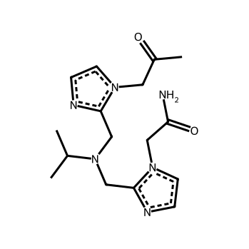 CC(=O)Cn1ccnc1CN(Cc1nccn1CC(N)=O)C(C)C